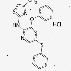 Cc1csc(Nc2ncc(Sc3ccccc3)cc2Oc2ccccc2)n1.Cl